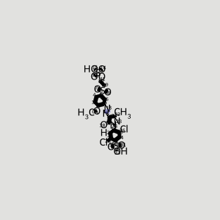 COc1ccc(S(=O)(=O)CCOS(=O)(=O)O)cc1/N=N/c1c(C)nn(-c2cc(Cl)c(S(=O)(=O)O)cc2Cl)c1O